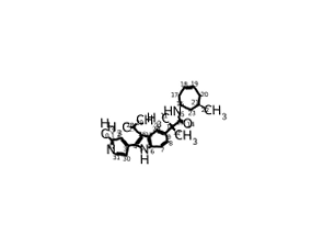 Cc1cc(-c2[nH]c3ccc(C(C)(C)C(=O)NC4CC=CC[C@@H](C)C4)cc3c2C(C)C)ccn1